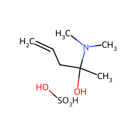 C=CCC(C)(O)N(C)C.O=S(=O)(O)O